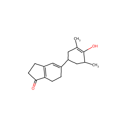 CC1=C(O)C(C)CC(C2=CC3=C(CC2)C(=O)CC3)C1